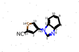 N#Cc1cc(-n2cnc3ccccc32)cs1